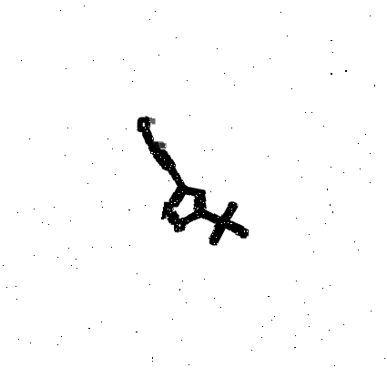 CC(C)(C)c1cc(C#[N+][O-])no1